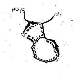 Cc1c(C(=O)O)oc2ccncc12